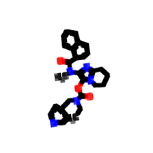 CCN(Cc1ccncc1)C(=O)Oc1c(N(C)C(=O)c2cccc3ccccc23)nc2n1CCCC2